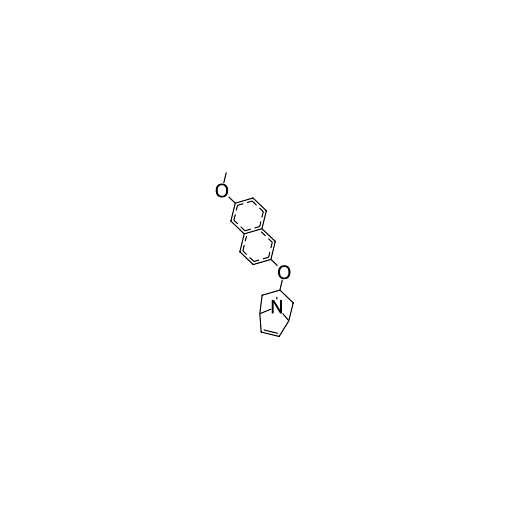 COc1ccc2cc(OC3CC4C=CC(C3)N4C)ccc2c1